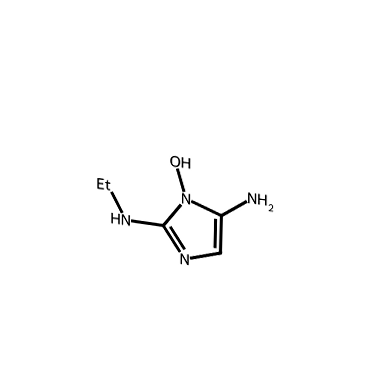 CCNc1ncc(N)n1O